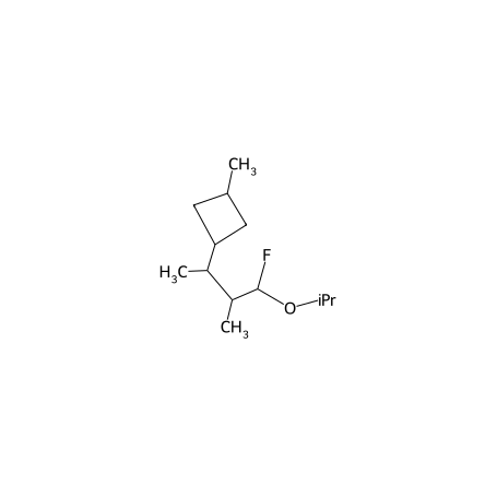 CC1CC(C(C)C(C)C(F)OC(C)C)C1